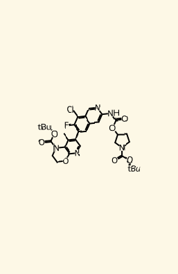 Cc1c(-c2cc3cc(NC(=O)OC4CCN(C(=O)OC(C)(C)C)C4)ncc3c(Cl)c2F)cnc2c1N(C(=O)OC(C)(C)C)CCO2